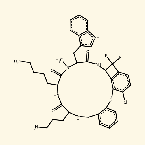 CN1C(=O)C(CCCCN)NC(=O)C(CCCN)NCc2ccccc2Sc2c(Cl)ccc3c2C(NC(=O)C1Cc1c[nH]c2ccccc12)C3(F)F